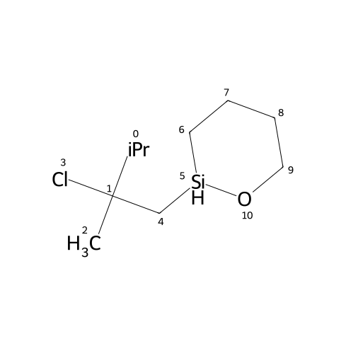 CC(C)C(C)(Cl)C[SiH]1CCCCO1